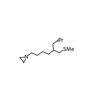 CSCC(CCCCN1CC1)CC(C)C